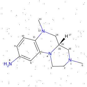 CN1CCN2c3cc(N)ccc3N(C)C[C@@H]2C1